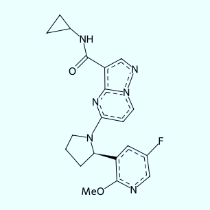 COc1ncc(F)cc1[C@H]1CCCN1c1ccn2ncc(C(=O)NC3CC3)c2n1